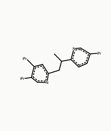 CC(C)c1ccc(C(C)Cc2cc(C(C)C)c(C(C)C)cn2)nc1